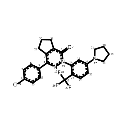 O=c1c2c(c(-c3ccc(Cl)cc3)nn1-c1cc(N3CCCC3)ccc1C(F)(F)F)CCC2